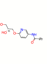 CC(C)C(=O)Nc1ccc(OC[C@H](O)CO)nc1